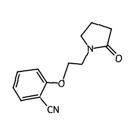 N#Cc1ccccc1OCCN1CCCC1=O